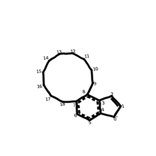 [CH]1C=Cc2c1ccc1c2CCCCCCCCCC1